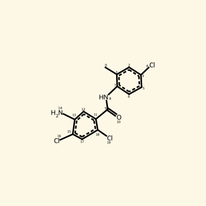 Cc1cc(Cl)ccc1NC(=O)c1cc(N)c(Cl)cc1Cl